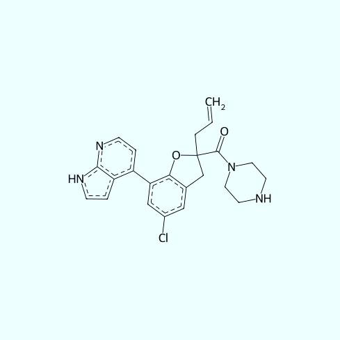 C=CCC1(C(=O)N2CCNCC2)Cc2cc(Cl)cc(-c3ccnc4[nH]ccc34)c2O1